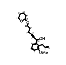 C=CCc1c(OC)cccc1C(O)C#CCCCOC1CCCCO1